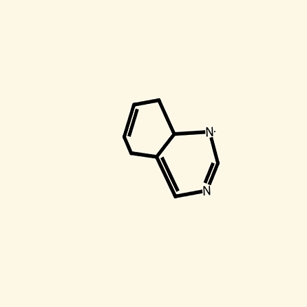 C1=CCC2[N]C=NC=C2C1